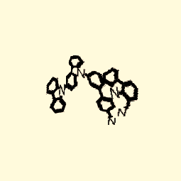 N#Cc1ccc(-c2cccc(-n3c4ccccc4c4cc(-n5c6ccccc6c6ccccc65)ccc43)c2)c(-n2c3ccccc3c3cccc(C#N)c32)c1